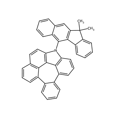 CC1(C)c2ccccc2-c2c1cc1ccccc1c2-n1c2cccc3c2c2c4c(cccc4ccc21)-c1ccccc1-3